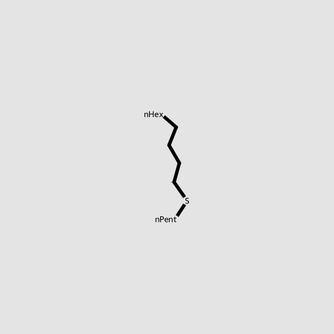 CCCCCCCCC[CH]SCCCCC